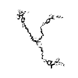 C=C(C(=O)OC)c1ccc(OCCCCCCCCOCC(COCCCCCCCCOc2ccc(C(=C)C(=O)OC)cc2)OCCCCCCCCOc2ccc(C(=C)C(=O)OC)cc2)cc1